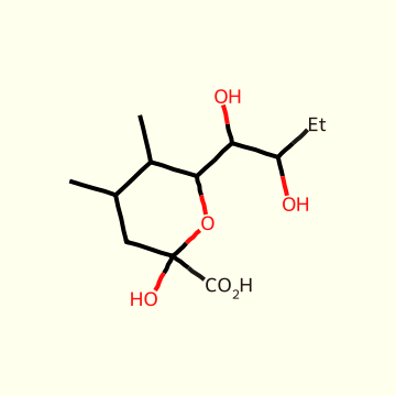 CCC(O)C(O)C1OC(O)(C(=O)O)CC(C)C1C